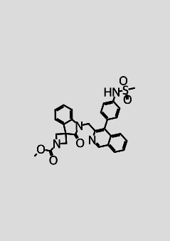 COC(=O)N1CC2(C1)C(=O)N(Cc1ncc3ccccc3c1-c1ccc(NS(C)(=O)=O)cc1)c1ccccc12